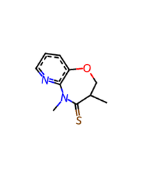 CC1COc2cccnc2N(C)C1=S